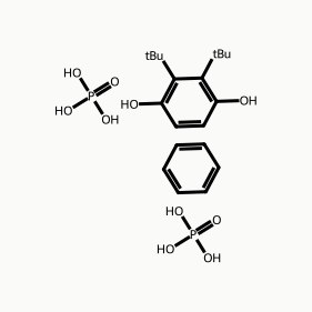 CC(C)(C)c1c(O)ccc(O)c1C(C)(C)C.O=P(O)(O)O.O=P(O)(O)O.c1ccccc1